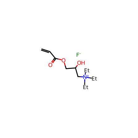 C=CC(=O)OCC(O)C[N+](CC)(CC)CC.[F-]